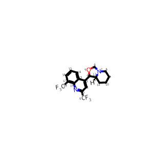 FC(F)(F)c1cc(C2OCN3CCCC[C@H]23)c2cccc(C(F)(F)F)c2n1